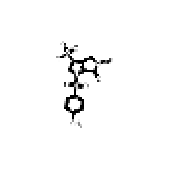 CCCN1Cc2c(S(=O)(=O)Cl)cn(S(=O)(=O)c3ccc(C)cc3)c2C1=O